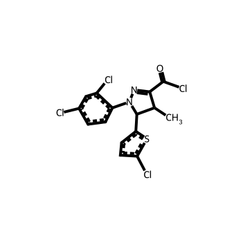 CC1C(C(=O)Cl)=NN(c2ccc(Cl)cc2Cl)C1c1ccc(Cl)s1